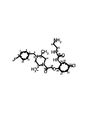 C[C@@H]1CN(Cc2ccc(F)cc2)[C@@H](C)CN1C(=O)COc1ccc(Cl)cc1NC(=O)NCCN